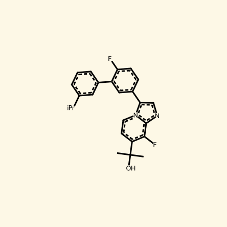 CC(C)c1cccc(-c2cc(-c3cnc4c(F)c(C(C)(C)O)ccn34)ccc2F)c1